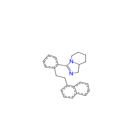 c1ccc(C2=NCC3CCCCN23)c(CCc2cccc3ccccc23)c1